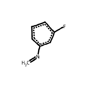 C=Nc1cccc(F)c1